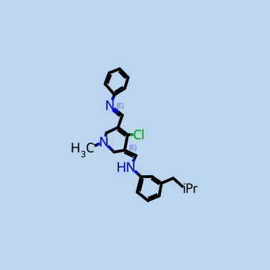 CC(C)Cc1cccc(N/C=C2\CN(C)CC(/C=N/c3ccccc3)=C2Cl)c1